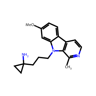 COc1ccc2c3ccnc(C)c3n(CCCC3(N)CC3)c2c1